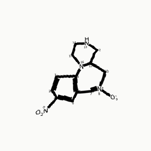 O=[N+]([O-])c1ccc2c(c1)C=[N+]([O-])CC1CNCCN21